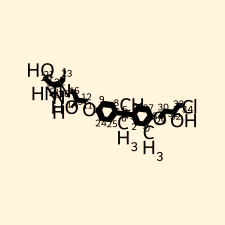 Cc1cc(C(C)(C)c2ccc(OC[C@@H](O)CN3NNC(CO)=C3I)cc2)ccc1OC[C@H](O)CCl